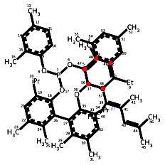 CCC1=CC(C)=C(OP(Oc2ccc(C)cc2C)Oc2c(C(C)C)cc(C)c(C)c2-c2c(C)c(C)cc(C(C)C)c2OP(O/C(C)=C(\C)C=C(C)C)Oc2ccc(C)cc2C)CC1